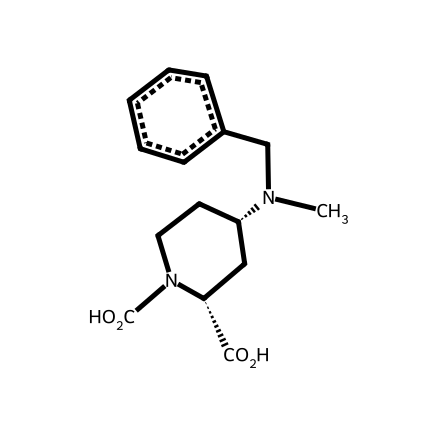 CN(Cc1ccccc1)[C@H]1CCN(C(=O)O)[C@@H](C(=O)O)C1